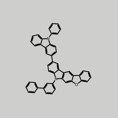 c1ccc(-c2cccc(-n3c4ccc(-c5ccc6c(c5)c5ccccc5n6-c5ccccc5)cc4c4cc5c(cc43)oc3ccccc35)c2)cc1